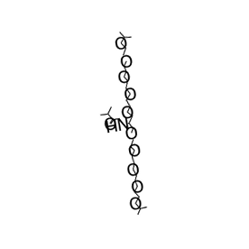 CC(C)OCCOCCOCCOCCOCC(COCCOCCOCCOCCOC(C)C)NCC(=O)C(C)C